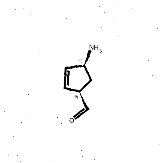 N[C@@H]1C=C[C@H]([C]=O)C1